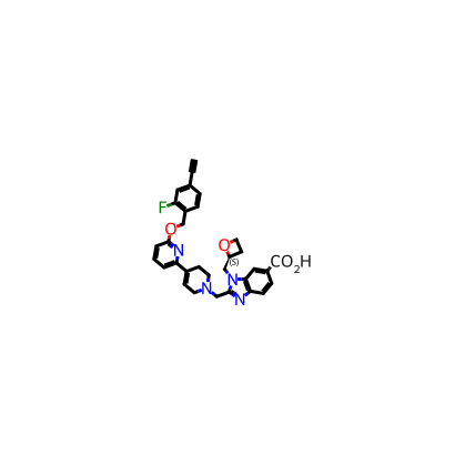 C#Cc1ccc(COc2cccc(C3=CCN(Cc4nc5ccc(C(=O)O)cc5n4C[C@@H]4CCO4)CC3)n2)c(F)c1